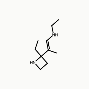 CCN/C=C(\C)C1(CC)CCN1